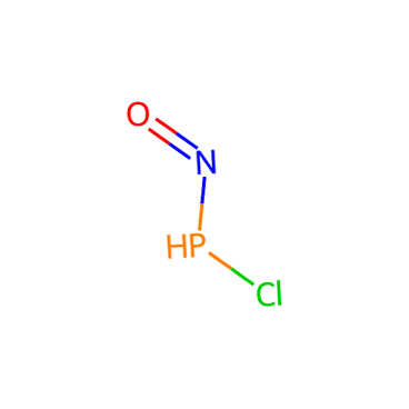 O=NPCl